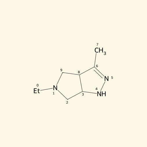 CCN1CC2NN=C(C)C2C1